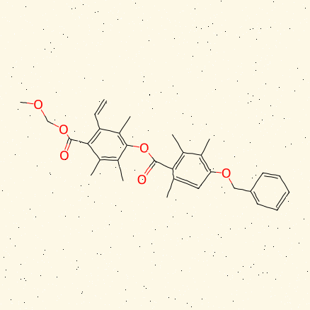 C=Cc1c(C)c(OC(=O)c2c(C)cc(OCc3ccccc3)c(C)c2C)c(C)c(C)c1C(=O)OCOC